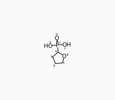 O=P(O)(O)C1CCCO1